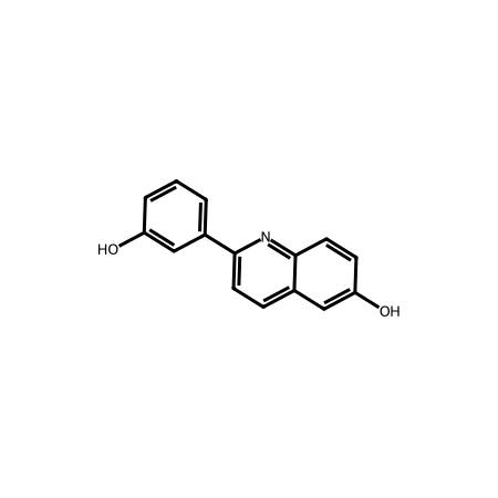 Oc1cccc(-c2ccc3cc(O)ccc3n2)c1